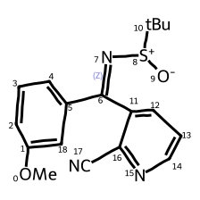 COc1cccc(/C(=N/[S+]([O-])C(C)(C)C)c2cccnc2C#N)c1